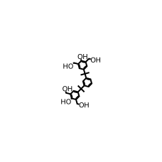 CC(C)(c1cccc(C(C)(C)c2cc(CO)c(O)c(CO)c2)c1)c1cc(CO)c(O)c(CO)c1